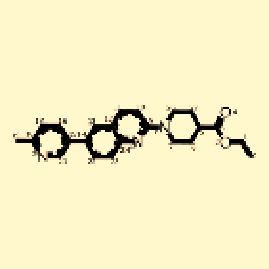 CCOC(=O)C1CCN(c2ccc3cc(-c4ccc(C)nc4)ccc3n2)CC1